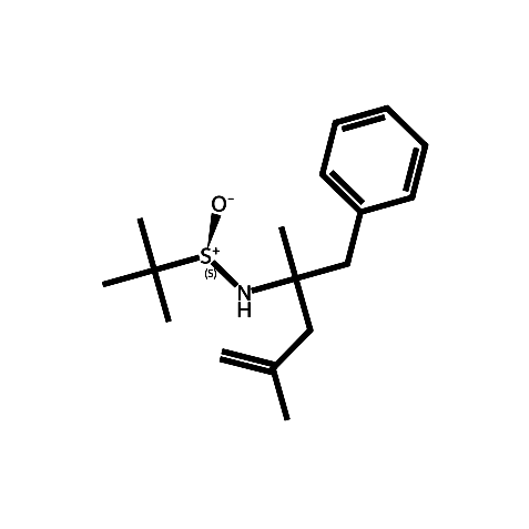 C=C(C)CC(C)(Cc1ccccc1)N[S@+]([O-])C(C)(C)C